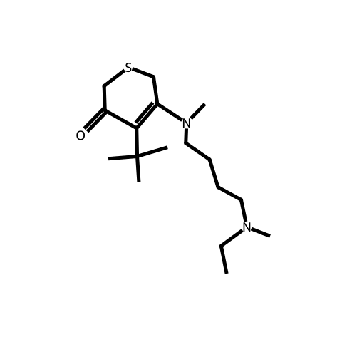 CCN(C)CCCCN(C)C1=C(C(C)(C)C)C(=O)CSC1